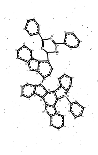 c1ccc(C2=NC(c3ccc(-n4c5ccccc5c5c6oc7ccccc7c6c6c(c7ccccc7n6-c6ccccc6)c54)c4oc5ccccc5c34)NC(c3ccccc3)=N2)cc1